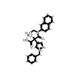 CCN(C(=O)C(C)(C(=O)O)c1cnn(Cc2ccccc2)c1)c1ccc2ccccc2c1